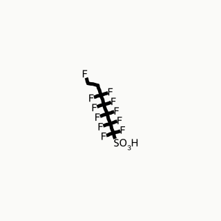 O=S(=O)(O)C(F)(F)C(F)(F)C(F)(F)C(F)(F)C(F)(F)CCF